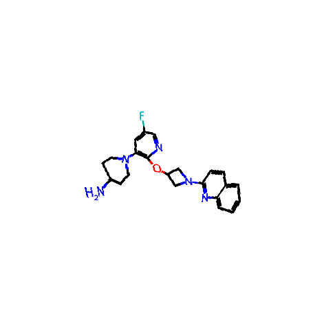 NC1CCN(c2cc(F)cnc2OC2CN(c3ccc4ccccc4n3)C2)CC1